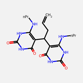 C=CCC(c1c(NCCC)[nH]c(=O)[nH]c1=O)c1c(NCCC)[nH]c(=O)[nH]c1=O